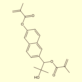 C=C(C)C(=O)Oc1ccc2cc(C(OC(=O)C(=C)C)C(C)(C)O)ccc2c1